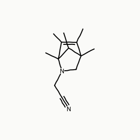 CC1=C(C)C2(C)C(C)C1(C)CN2CC#N